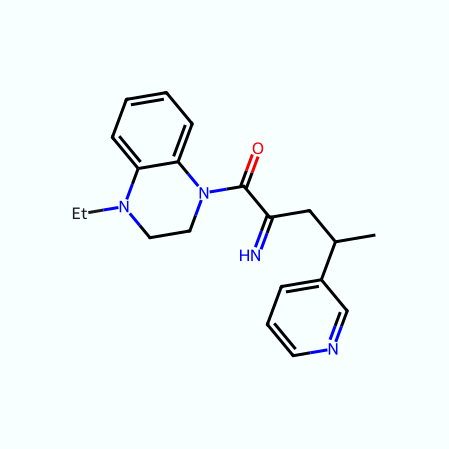 CCN1CCN(C(=O)C(=N)CC(C)c2cccnc2)c2ccccc21